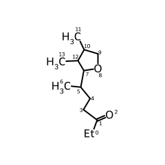 CCC(=O)CCC(C)C1OCC(C)C1C